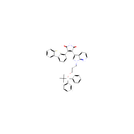 CC(C)(C)[Si](OCCCn1cc(C2=C(c3cccc4c3sc3ccccc34)C(=O)NC2=O)c2cccnc21)(c1ccccc1)c1ccccc1